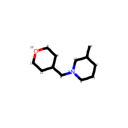 CC1CCCN(CC2CCOCC2)C1